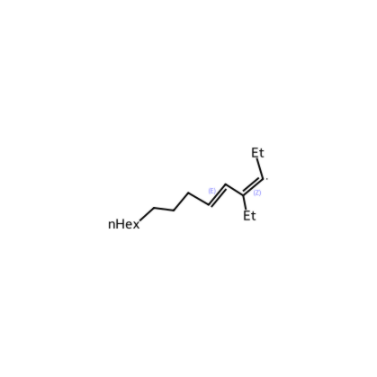 CC/[C]=C(\C=C\CCCCCCCCC)CC